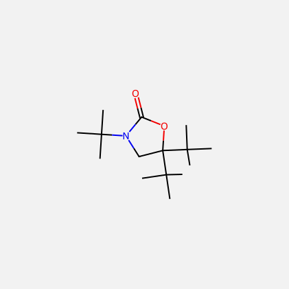 CC(C)(C)N1CC(C(C)(C)C)(C(C)(C)C)OC1=O